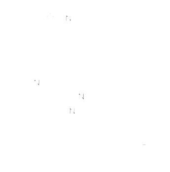 Cc1noc(C)c1-c1cnc2cnn(Cc3ccc(F)cc3)c2c1